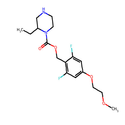 CCC1CNCCN1C(=O)OCc1c(F)cc(OCCOC)cc1F